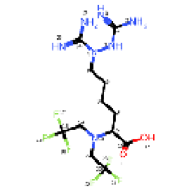 N=C(N)NN(CCCCC(C(=O)O)N(CC(F)(F)F)CC(F)(F)F)C(=N)N